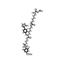 COc1cc(C)c(S(=O)(=O)N(C)CCOCC(=O)N(CCCCCNC(=O)CCCCCCNC(=O)OC(C)(C)C)Cc2ccc(C3=NCCN3)cc2)c(C)c1